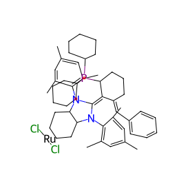 Cc1cc(C)c(N2C(=C3C(=Cc4ccccc4)CCCC3P(C3CCCCC3)C3CCCCC3)N(c3c(C)cc(C)cc3C)C3CCCCC32)c(C)c1.[Cl][Ru][Cl]